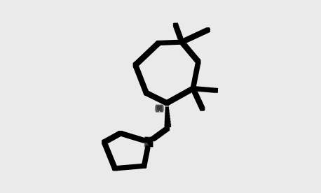 CC1(C)CCC[C@@H](CN2CCCC2)C(C)(C)C1